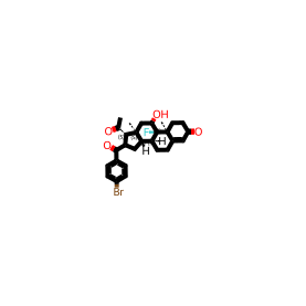 CC(=O)[C@H]1C(C(=O)c2ccc(Br)cc2)C[C@H]2[C@@H]3CCC4=CC(=O)CC[C@]4(C)[C@@]3(F)C(O)C[C@]12C